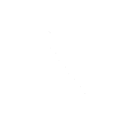 FC(F)(F)C(F)(F)C(F)(F)C(F)(F)C(F)(F)C(F)(F)C(F)(F)C(F)(F)C1=NCCO1